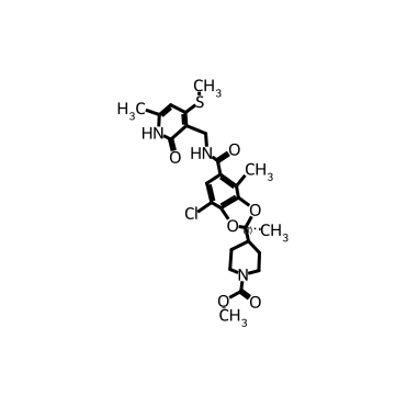 COC(=O)N1CCC([C@@]2(C)Oc3c(Cl)cc(C(=O)NCc4c(SC)cc(C)[nH]c4=O)c(C)c3O2)CC1